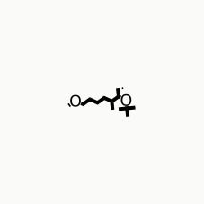 [CH2]C(OC(C)(C)C)C(C)CCCCOC